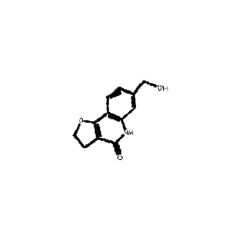 O=c1[nH]c2cc(CO)ccc2c2c1CCO2